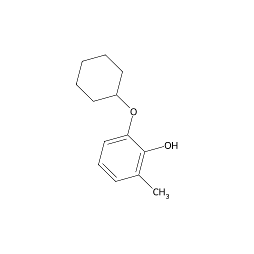 Cc1cccc(OC2CCCCC2)c1O